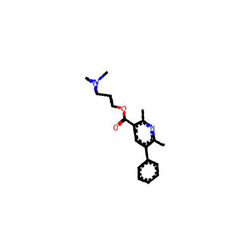 Cc1nc(C)c(-c2ccccc2)cc1C(=O)OCCCN(C)C